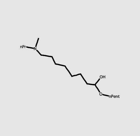 CCCCCOC(O)CCCCCCCN(C)CCC